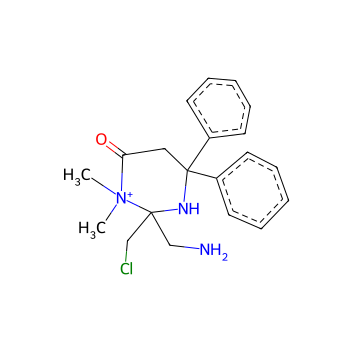 C[N+]1(C)C(=O)CC(c2ccccc2)(c2ccccc2)NC1(CN)CCl